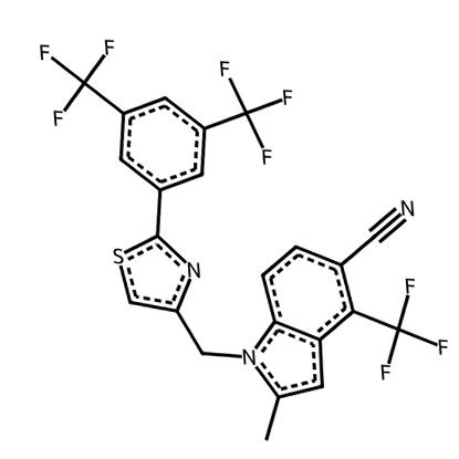 Cc1cc2c(C(F)(F)F)c(C#N)ccc2n1Cc1csc(-c2cc(C(F)(F)F)cc(C(F)(F)F)c2)n1